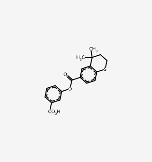 CC1(C)CCSc2ccc(C(=O)Oc3cccc(C(=O)O)c3)cc21